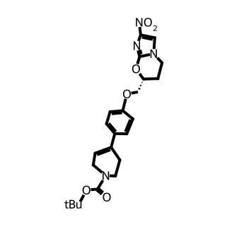 CC(C)(C)OC(=O)N1CC=C(c2ccc(OC[C@H]3CCn4cc([N+](=O)[O-])nc4O3)cc2)CC1